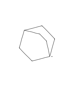 C1CC2CC[C]1CC2